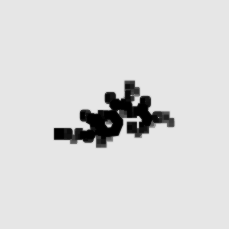 C[C@H](N)C(=O)NN(C)C(=O)[C@@H]1CC[C@@H]2CN1C(=O)N2OS(=O)(=O)O